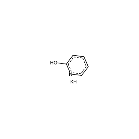 Oc1ccccn1.[KH]